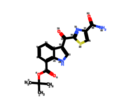 CC(C)(C)OC(=O)c1cccc2c(C(=O)c3nc(C(N)=O)cs3)c[nH]c12